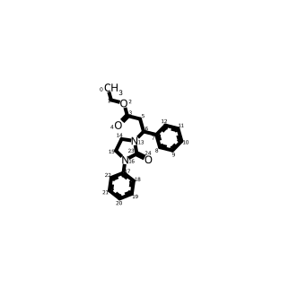 CCOC(=O)CC(c1ccccc1)N1CCN(c2ccccc2)C1=O